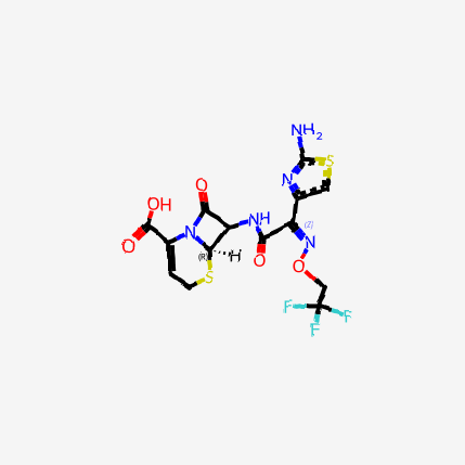 Nc1nc(/C(=N/OCC(F)(F)F)C(=O)NC2C(=O)N3C(C(=O)O)=CCS[C@H]23)cs1